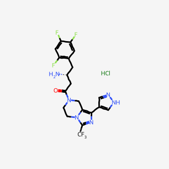 Cl.N[C@@H](CC(=O)N1CCn2c(C(F)(F)F)nc(-c3cn[nH]c3)c2C1)Cc1cc(F)c(F)cc1F